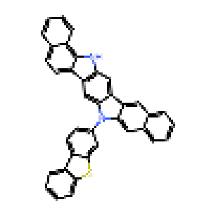 c1ccc2cc3c(cc2c1)c1cc2[nH]c4c5ccccc5ccc4c2cc1n3-c1ccc2c(c1)sc1ccccc12